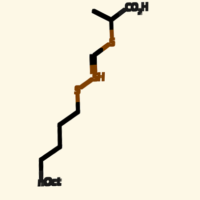 CCCCCCCCCCCCS[SH]=CSC(C)C(=O)O